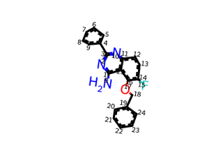 Nc1nc(-c2ccccc2)nc2ccc(F)c(OCc3ccccc3)c12